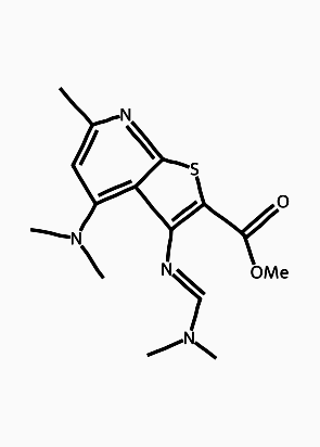 COC(=O)c1sc2nc(C)cc(N(C)C)c2c1N=CN(C)C